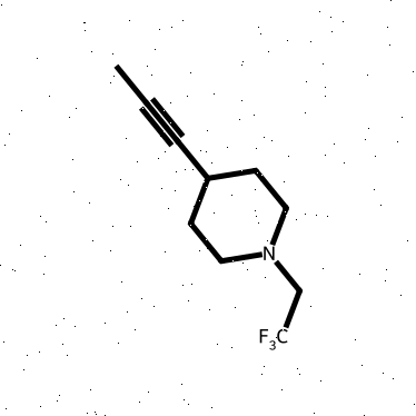 CC#CC1CCN(CC(F)(F)F)CC1